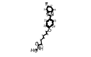 O=C(CCCCCCOc1ccc(-c2nc3ccc(F)cc3s2)cc1)NO